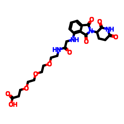 O=C(O)CCOCCOCCOCCNC(=O)CNc1cccc2c1C(=O)N(C1CCC(=O)NC1=O)C2=O